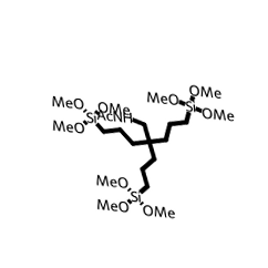 CO[Si](CCCC(CCC[Si](OC)(OC)OC)(CCC[Si](OC)(OC)OC)CNC(C)=O)(OC)OC